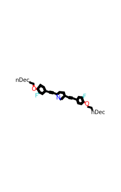 CCCCCCCCCCCCOc1ccc(C#Cc2ccc(C#Cc3ccc(OCCCCCCCCCCCC)c(F)c3)nc2)cc1F